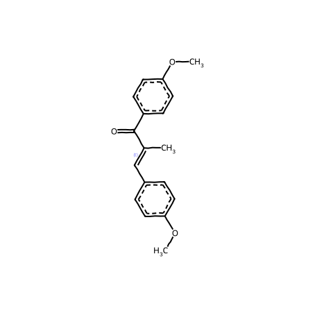 COc1ccc(/C=C(\C)C(=O)c2ccc(OC)cc2)cc1